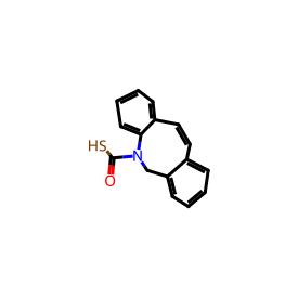 O=C(S)N1Cc2ccccc2/C=C\c2ccccc21